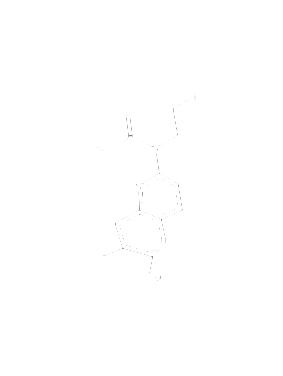 COc1cc2ccc(N(CCC(C)C)C(=O)OC(C)(C)C)nc2cc1Cl